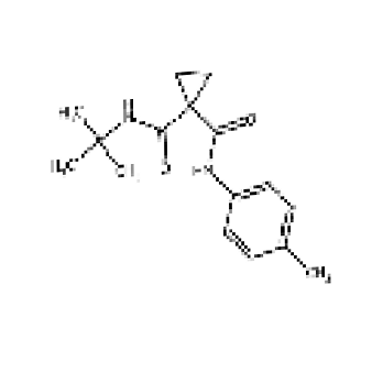 Cc1ccc(NC(=O)C2(C(=O)NC(C)(C)C)CC2)cc1